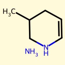 CC1CC=CNC1.N